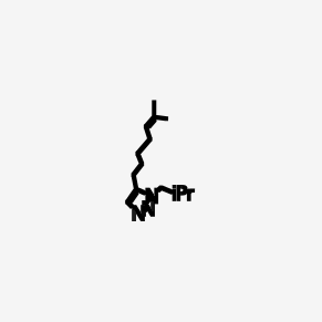 CC(C)=CCCCCc1cnnn1CC(C)C